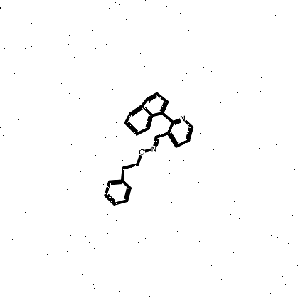 C(=NOCCc1ccccc1)c1cccnc1-c1cccc2ccccc12